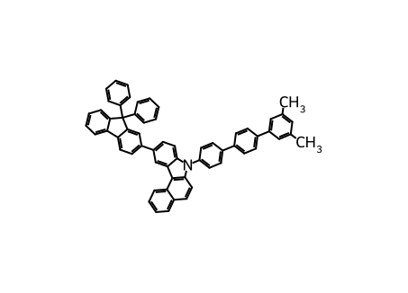 Cc1cc(C)cc(-c2ccc(-c3ccc(-n4c5ccc(-c6ccc7c(c6)C(c6ccccc6)(c6ccccc6)c6ccccc6-7)cc5c5c6ccccc6ccc54)cc3)cc2)c1